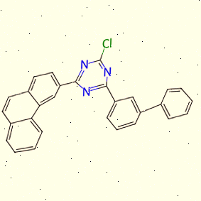 Clc1nc(-c2cccc(-c3ccccc3)c2)nc(-c2ccc3ccc4ccccc4c3c2)n1